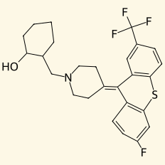 OC1CCCCC1CN1CCC(=C2c3ccc(F)cc3Sc3ccc(C(F)(F)F)cc32)CC1